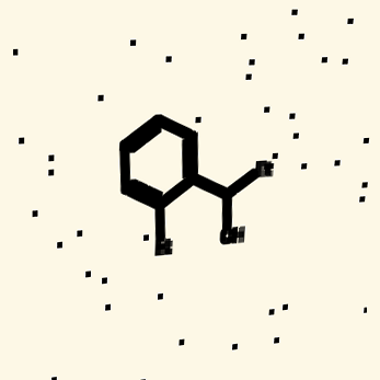 CCc1ccccc1C(O)CC